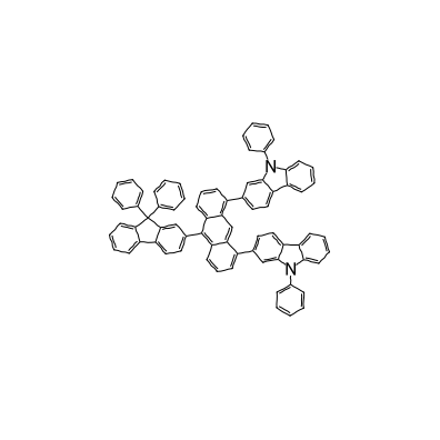 c1ccc(-n2c3ccccc3c3ccc(-c4cccc5c(-c6ccc7c(c6)C(c6ccccc6)(c6ccccc6)c6ccccc6-7)c6cccc(-c7ccc8c9ccccc9n(-c9ccccc9)c8c7)c6cc45)cc32)cc1